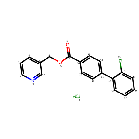 Cl.O=C(OCc1cccnc1)c1ccc(-c2ccccc2Cl)cc1